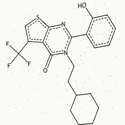 O=c1c2c(C(F)(F)F)csc2nc(-c2ccccc2O)n1CCC1CCCCC1